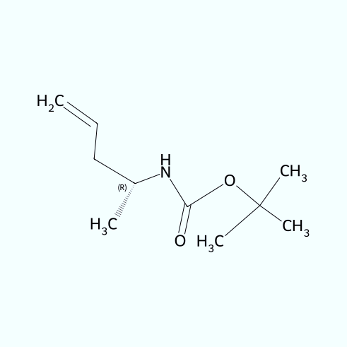 C=CC[C@@H](C)NC(=O)OC(C)(C)C